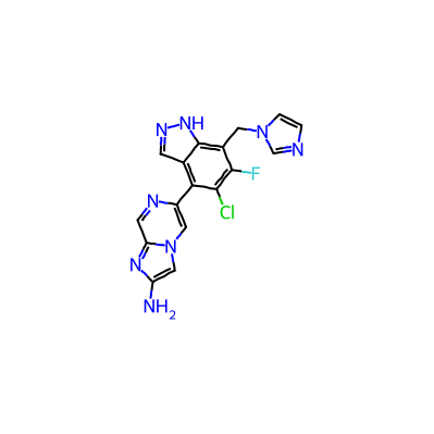 Nc1cn2cc(-c3c(Cl)c(F)c(Cn4ccnc4)c4[nH]ncc34)ncc2n1